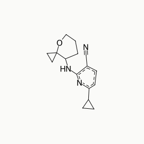 N#Cc1ccc(C2CC2)nc1NC1CCCOC12CC2